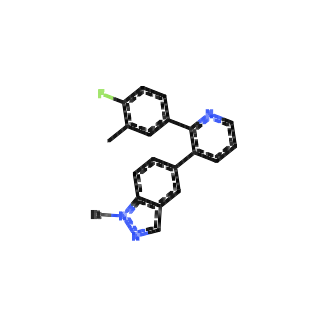 CCn1ncc2cc(-c3cccnc3-c3ccc(F)c(C)c3)ccc21